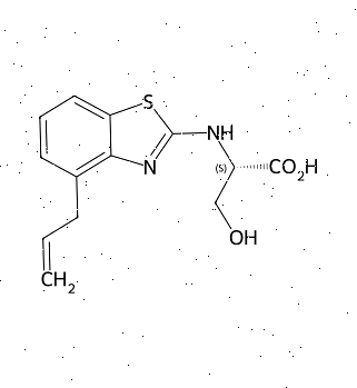 C=CCc1cccc2sc(N[C@@H](CO)C(=O)O)nc12